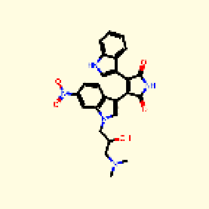 CN(C)CC(O)Cn1cc(C2=C(c3c[nH]c4ccccc34)C(=O)NC2=O)c2ccc([N+](=O)[O-])cc21